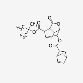 CC(OC(=O)C1C2CC3C(OC(=O)C31)C2OC(=O)C1CC2C=CC1C2)(C(F)(F)F)C(F)(F)F